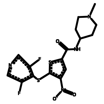 CN1CCC(NC(=O)c2cc([N+](=O)[O-])c(Sc3c(F)cncc3F)s2)CC1